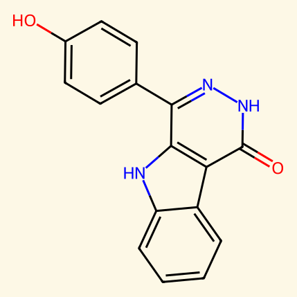 O=c1[nH]nc(-c2ccc(O)cc2)c2[nH]c3ccccc3c12